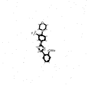 COc1ccccc1-c1noc(-c2ccc(N3CCOCC3)c(C(F)(F)F)c2)n1